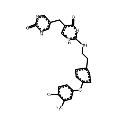 O=c1ncc(Cc2c[nH]c(NCCc3ccc(Oc4ccc(Cl)c(C(F)(F)F)c4)cc3)nc2=O)c[nH]1